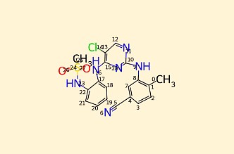 Cc1ccc(C#N)cc1Nc1ncc(Cl)c(Nc2ccccc2NS(C)(=O)=O)n1